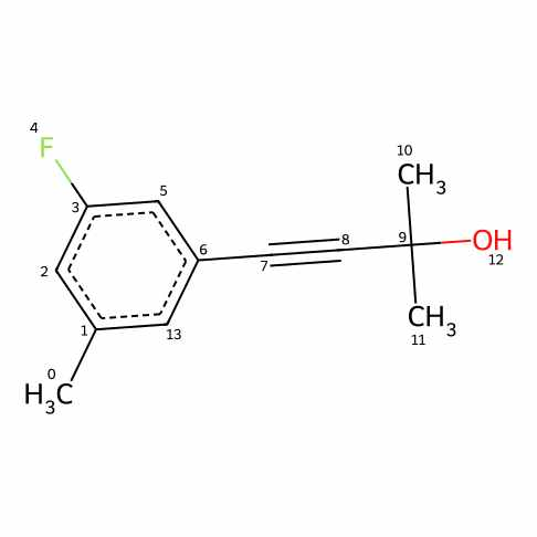 Cc1cc(F)cc(C#CC(C)(C)O)c1